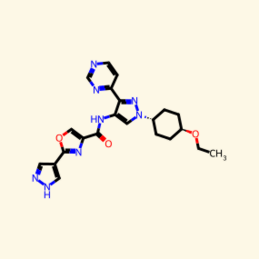 CCO[C@H]1CC[C@H](n2cc(NC(=O)c3coc(-c4cn[nH]c4)n3)c(-c3ccncn3)n2)CC1